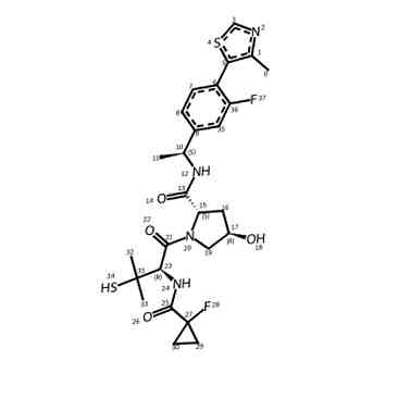 Cc1ncsc1-c1ccc([C@H](C)NC(=O)[C@@H]2C[C@@H](O)CN2C(=O)[C@@H](NC(=O)C2(F)CC2)C(C)(C)S)cc1F